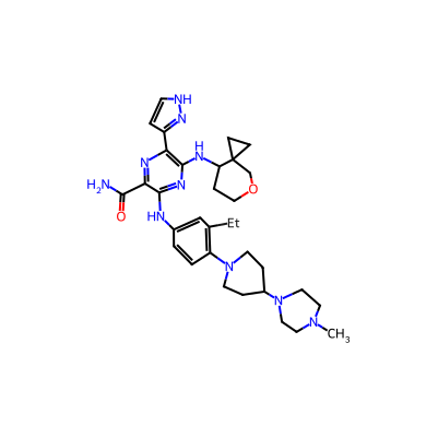 CCc1cc(Nc2nc(NC3CCOCC34CC4)c(-c3cc[nH]n3)nc2C(N)=O)ccc1N1CCC(N2CCN(C)CC2)CC1